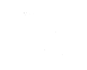 COc1ccc(C=C(C(C)=O)C(C)=O)cc1O